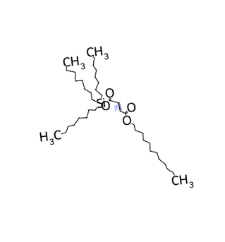 CCCCCCCCCCCCOC(=O)/C=C/C(=O)O[Si](CCCCCCCC)(CCCCCCCC)CCCCCCCC